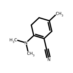 CC1=CC(C#N)=C(N(C)C)CC1